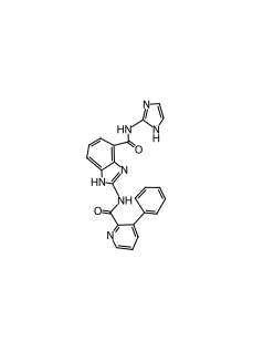 O=C(Nc1nc2c(C(=O)Nc3ncc[nH]3)cccc2[nH]1)c1ncccc1-c1ccccc1